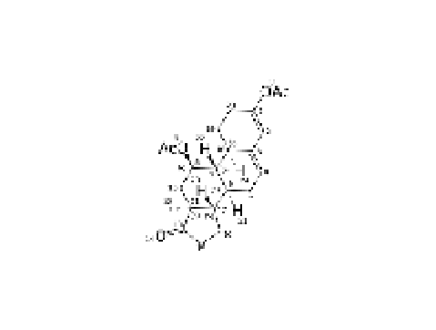 CC(=O)OC1=CC2=CC[C@@H]3[C@H]([C@H](OC(C)=O)C[C@]4(C)C(=O)CC[C@@H]34)[C@H]2CC1